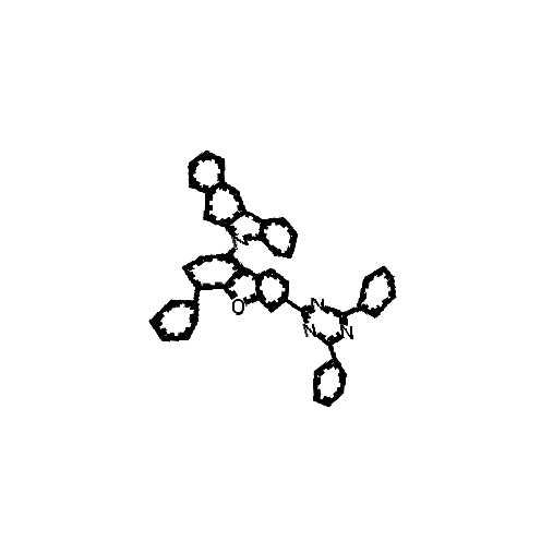 c1ccc(-c2nc(-c3ccccc3)nc(-c3ccc4c(c3)oc3c(-c5ccccc5)ccc(-n5c6ccccc6c6cc7ccccc7cc65)c34)n2)cc1